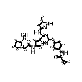 Cc1cc(Nc2nc(Sc3ccc(NC(=O)C4CC4)cc3)nn3cc(NC(=O)CN4CCC[C@H]4CO)cc23)n[nH]1